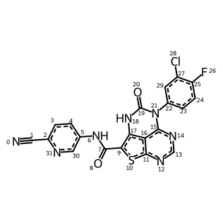 N#Cc1ccc(NC(=O)c2sc3ncnc4c3c2NC(=O)N4c2ccc(F)c(Cl)c2)cn1